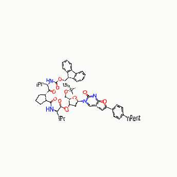 CCCCCc1ccc(-c2cc3cn([C@H]4CC(OC(=O)C(NC(=O)C5CCCC5C(=O)C(NC(=O)OCC5c6ccccc6-c6ccccc65)C(C)C)C(C)C)[C@@H](CO[Si](C)(C)C(C)(C)C)O4)c(=O)nc3o2)cc1